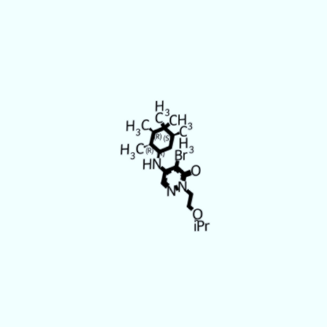 CC(C)OCCn1ncc(N[C@@H]2C[C@H](C)C(C)(C)[C@H](C)[C@H]2C)c(Br)c1=O